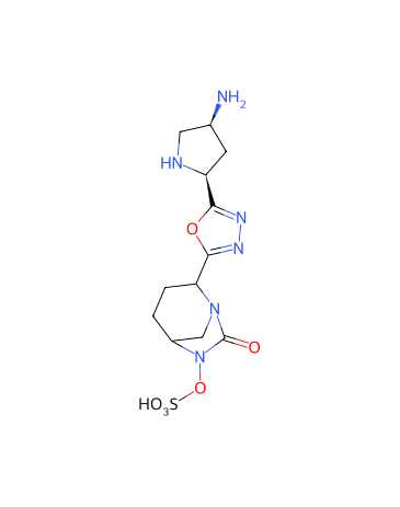 N[C@@H]1CN[C@H](c2nnc(C3CCC4CN3C(=O)N4OS(=O)(=O)O)o2)C1